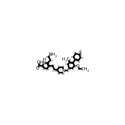 CCO[C@H]1C[C@@H](CN2CCC(CCC3=C(CCN)NC(C(=O)O)CC3)CC2)CC(C)=C1C1=CC[C@H](F)CC1